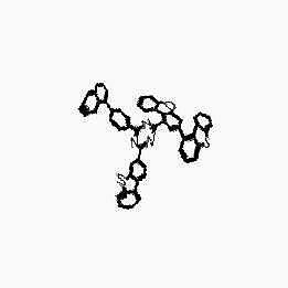 C1=CC(c2cccc3ccccc23)CC=C1c1nc(-c2ccc3c(c2)sc2ccccc23)nc(-c2cc(-c3cccc4sc5ccccc5c34)cc3oc4ccccc4c23)n1